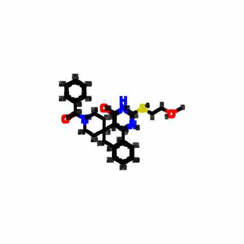 COCCSc1nc2c(c(=O)[nH]1)C1(CCN(C(=O)c3ccccc3)CC1)Cc1ccccc1-2